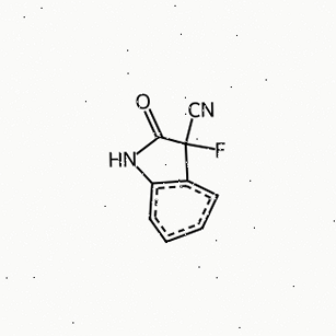 N#CC1(F)C(=O)Nc2ccccc21